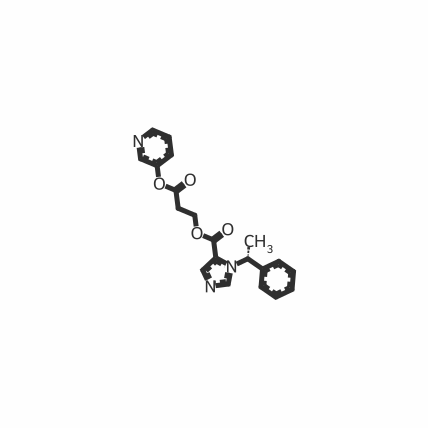 C[C@H](c1ccccc1)n1cncc1C(=O)OCCC(=O)Oc1cccnc1